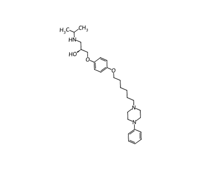 CC(C)NC[C@H](O)COc1ccc(OCCCCCCN2CCN(c3ccccc3)CC2)cc1